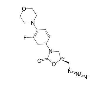 [N-]=[N+]=NC[C@@H]1CN(c2ccc(N3CCOCC3)c(F)c2)C(=O)O1